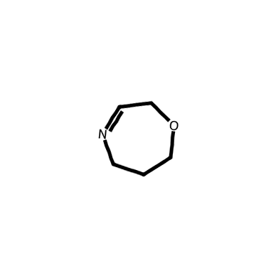 C1=NCCCOC1